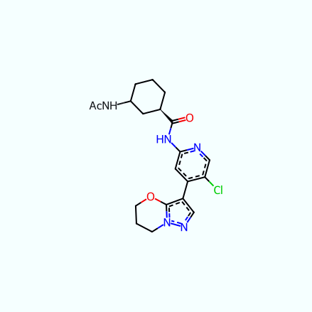 CC(=O)NC1CCC[C@@H](C(=O)Nc2cc(-c3cnn4c3OCCC4)c(Cl)cn2)C1